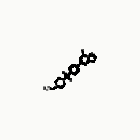 CCN1CCN(S(=O)(=O)c2ccc(-c3cc(Cl)n4nccc4n3)cc2)CC1